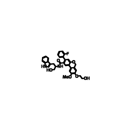 COc1cc2c(cc1OCCO)COc1cc(-c3ccccc3F)c(C(=O)NC(CO)Cc3c[nH]c4ccccc34)cc1-2